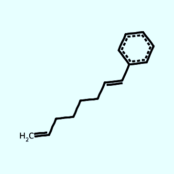 C=CCCCCC=Cc1ccccc1